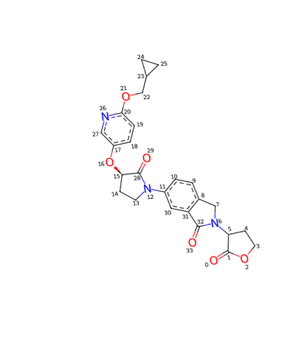 O=C1OCCC1N1Cc2ccc(N3CC[C@@H](Oc4ccc(OCC5CC5)nc4)C3=O)cc2C1=O